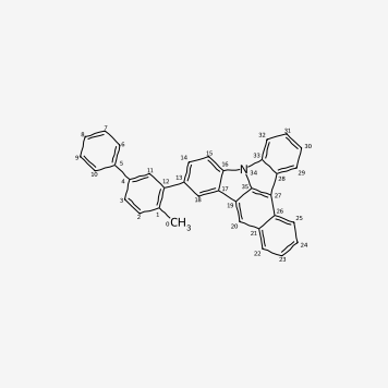 Cc1ccc(-c2ccccc2)cc1-c1ccc2c(c1)c1cc3ccccc3c3c4ccccc4n2c13